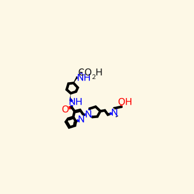 CN(CCO)CCC1CCN(c2cc(C(=O)NC[C@H]3CC[C@H](CNC(=O)O)CC3)c3ccccc3n2)CC1